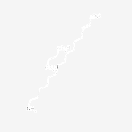 CCCCCCCCC=CCCCCCCCCCCCCN.O=C(O)CCC(=O)O